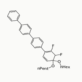 CCCCCCOC1(OCCCCC)C=CC(c2ccc(-c3ccc(-c4ccccc4)cc3)cc2)=C(F)C1F